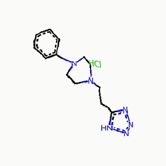 Cl.c1ccc(N2CCN(CCc3nnn[nH]3)CC2)cc1